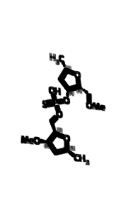 COC[C@H]1O[C@@H](C)C[C@H]1OP(O)(=S)OC[C@H]1O[C@@H](C)C[C@H]1OC